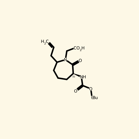 C=CCC1CCC[C@H](NC(=O)OC(C)(C)C)C(=O)N1CC(=O)O